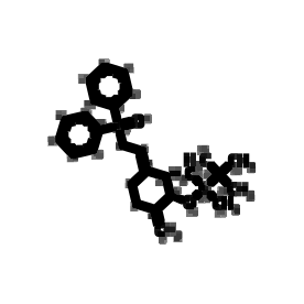 C=C1CC/C(=C\CP(=O)(c2ccccc2)c2ccccc2)C[C@H]1O[Si](C)(C)C(C)(C)C